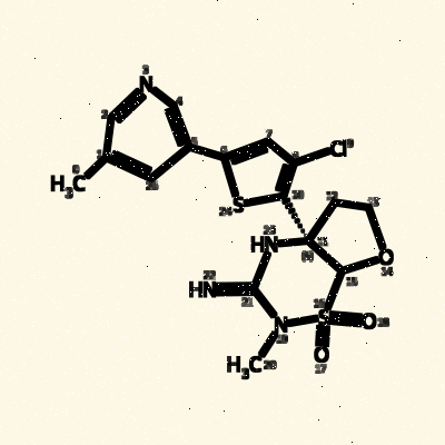 Cc1cncc(-c2cc(Cl)c([C@]34CCOC3S(=O)(=O)N(C)C(=N)N4)s2)c1